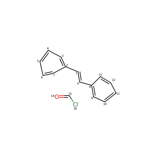 C(=Cc1ccccc1)c1ccccc1.O=CCl